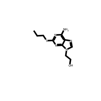 CCCSc1nc(N)c2ncn(CCO)c2n1